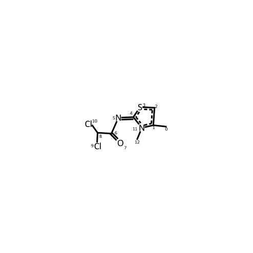 Cc1cs/c(=N/C(=O)C(Cl)Cl)n1C